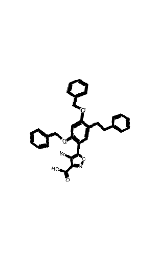 O=C(O)c1noc(-c2cc(CCc3ccccc3)c(OCc3ccccc3)cc2OCc2ccccc2)c1Br